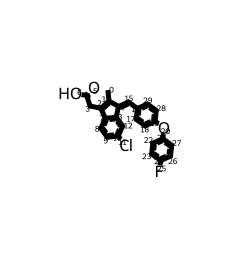 CC1=C(CC(=O)O)c2ccc(Cl)cc2/C1=C\c1ccc(Oc2ccc(F)cc2)cc1